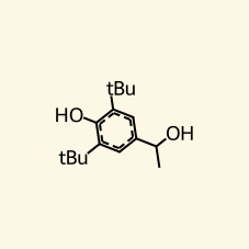 CC(O)c1cc(C(C)(C)C)c(O)c(C(C)(C)C)c1